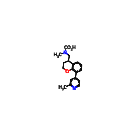 Cc1cc(-c2cccc3c2OCCC3CN(C)C(=O)O)ccn1